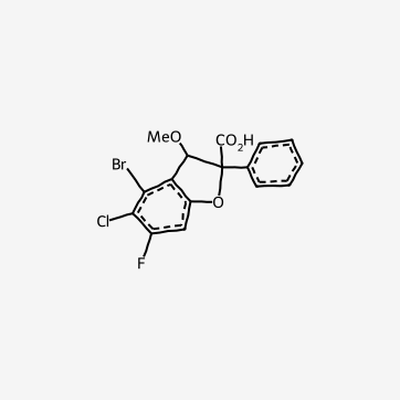 COC1c2c(cc(F)c(Cl)c2Br)OC1(C(=O)O)c1ccccc1